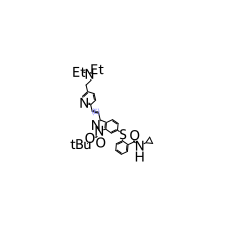 CCN(CC)CCc1ccc(/C=C/c2nn(C(=O)OC(C)(C)C)c3cc(Sc4ccccc4C(=O)NC4CC4)ccc23)nc1